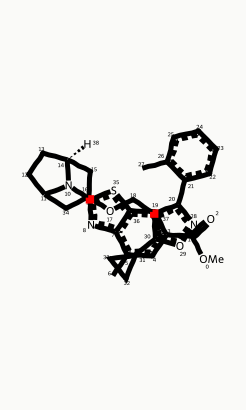 COC(=O)c1cc(C)c2nc(N3C4CC[C@H]3CC(OCc3c(-c5ccccc5C)noc3C3CC3)C4)sc2c1